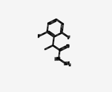 CC(C(=O)NN)c1c(F)cccc1F